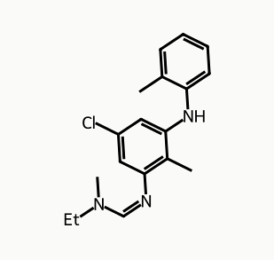 CCN(C)/C=N\c1cc(Cl)cc(Nc2ccccc2C)c1C